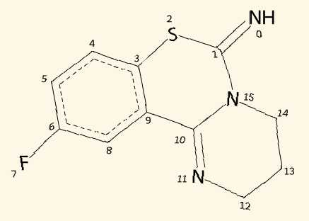 N=C1Sc2ccc(F)cc2C2=NCCCN12